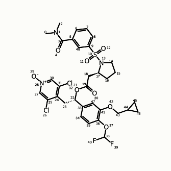 CN(C)C(=O)c1cccc(S(=O)(=O)N2CCC[C@H]2CC(=O)O[C@@H](Cc2c(Cl)c[n+]([O-])cc2Cl)c2ccc(OC(F)F)c(OCC3CC3)c2)c1